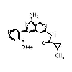 COCc1ccncc1-c1cc2cc(NC(=O)[C@H]3C[C@@H]3C)ncc2c(N)n1